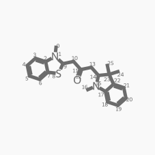 CN1c2ccccc2SC1CC(=O)CC1N(C)c2ccccc2C1(C)C